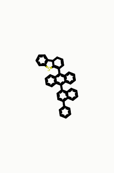 C1=CC(c2c3ccccc3c(-c3ccc(-c4ccccc4)c4ccccc34)c3ccccc23)=C2Sc3ccccc3C2C1